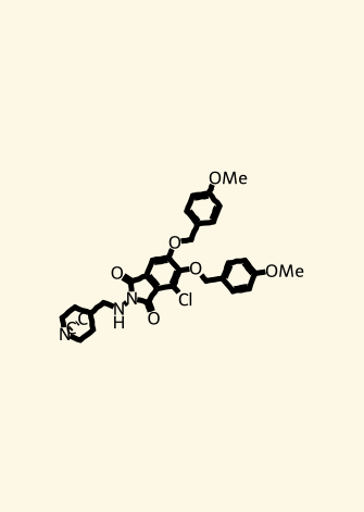 COc1ccc(COc2cc3c(c(Cl)c2OCc2ccc(OC)cc2)C(=O)N(NCC24CCN(CC2)CC4)C3=O)cc1